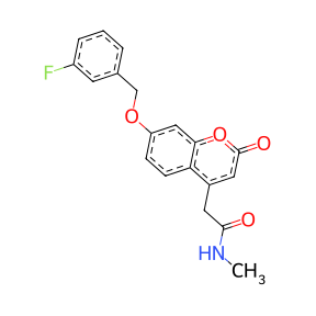 CNC(=O)Cc1cc(=O)oc2cc(OCc3cccc(F)c3)ccc12